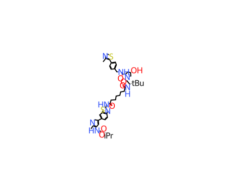 Cc1ncc(-c2ccc3nc(NC(=O)CCCCCCC(=O)N[C@H](C(=O)N4C[C@H](O)C[C@H]4C(=O)NCc4ccc(-c5scnc5C)cc4)C(C)(C)C)sc3c2)cc1NC(=O)OC(C)C